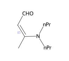 CCCN(CCC)/C(C)=C\C=O